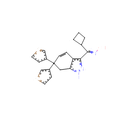 O/N=C(/c1n[nH]c2c1C=CC(c1ccsc1)(c1ccsc1)C2)C1CCC1